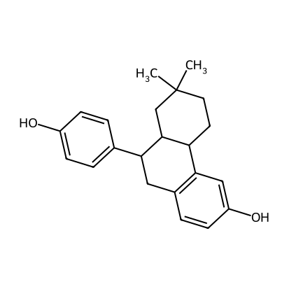 CC1(C)CCC2c3cc(O)ccc3CC(c3ccc(O)cc3)C2C1